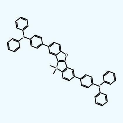 C[Si]1(C)c2ccc(-c3ccc(N(c4ccccc4)c4ccccc4)cc3)cc2-c2oc3ccc(-c4ccc(N(c5ccccc5)c5ccccc5)cc4)cc3c21